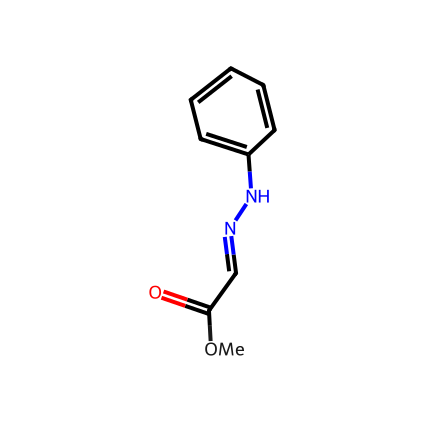 COC(=O)C=NNc1ccccc1